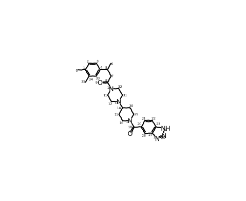 Cc1ccc(C(C)CC(=O)N2CCN(C3CCN(C(=O)c4ccc5[nH]nnc5c4)CC3)CC2)cc1C